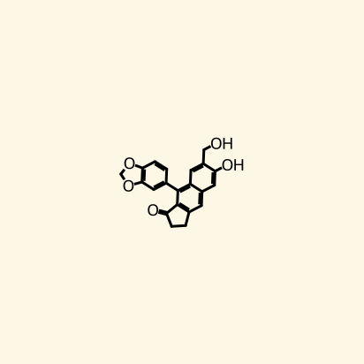 O=C1CCc2cc3cc(O)c(CO)cc3c(-c3ccc4c(c3)OCO4)c21